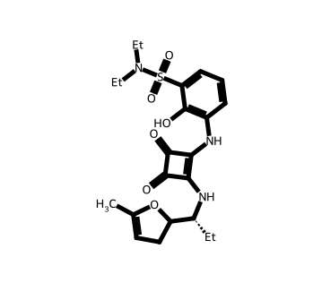 CC[C@@H](Nc1c(Nc2cccc(S(=O)(=O)N(CC)CC)c2O)c(=O)c1=O)C1CC=C(C)O1